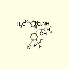 COc1cnn(C(c2ccc(C#N)c(C(F)(F)F)c2)C(C)(O)C(N)=O)c1